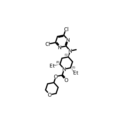 CC[C@@H]1C[C@@H](N(C)c2nc(Cl)cc(Cl)n2)C[C@H](CC)N1C(=O)OC1CCOCC1